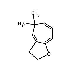 CC1(C)C=CC=C2OCCC2=C1